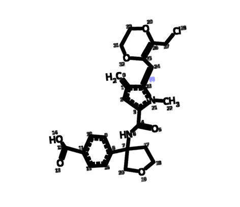 C=c1cc(C(=O)NC2(c3ccc(C(=O)O)cc3)CCOC2)n(C)/c1=C/C1=C(CCl)OCCO1